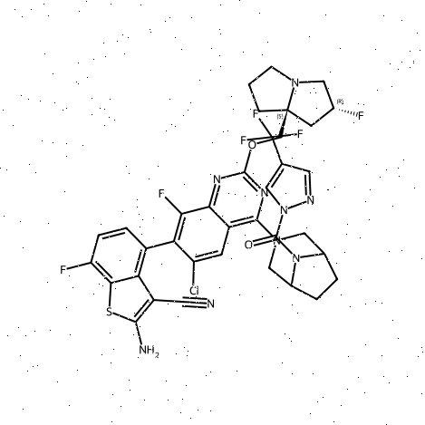 N#Cc1c(N)sc2c(F)ccc(-c3c(Cl)cc4c(N5CC6CCC(C5)N6C(=O)n5cc(C(F)(F)F)cn5)nc(OC[C@@]56CCCN5C[C@H](F)C6)nc4c3F)c12